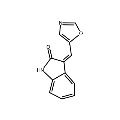 O=C1Nc2ccccc2C1=Cc1cnco1